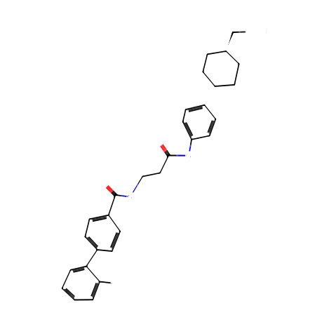 Cc1ccccc1-c1ccc(C(=O)NCCC(=O)Nc2ccc([C@H]3CC[C@H](CC(=O)O)CC3)cc2)cc1